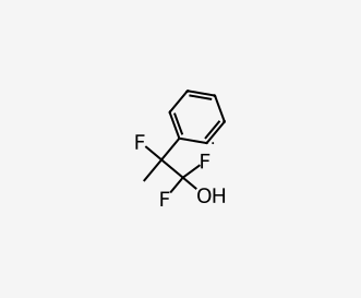 CC(F)(c1[c]cccc1)C(O)(F)F